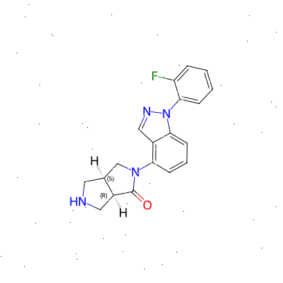 O=C1[C@H]2CNC[C@H]2CN1c1cccc2c1cnn2-c1ccccc1F